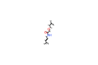 CC(C)/C=C/CNC(=O)COCCC(C)C